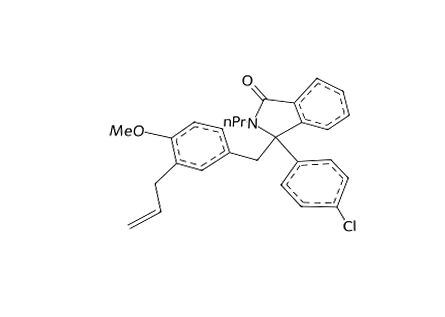 C=CCc1cc(CC2(c3ccc(Cl)cc3)c3ccccc3C(=O)N2CCC)ccc1OC